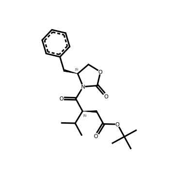 CC(C)[C@H](CC(=O)OC(C)(C)C)C(=O)N1C(=O)OC[C@@H]1Cc1ccccc1